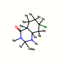 [2H]N1C(=O)C2([2H])C([2H])([2H])C([2H])([2H])C([2H])(Br)C([2H])([2H])C2([2H])N([2H])C1([2H])OC